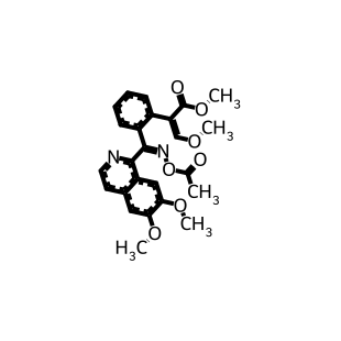 COC=C(C(=O)OC)c1ccccc1C(=NOC(C)=O)c1nccc2cc(OC)c(OC)cc12